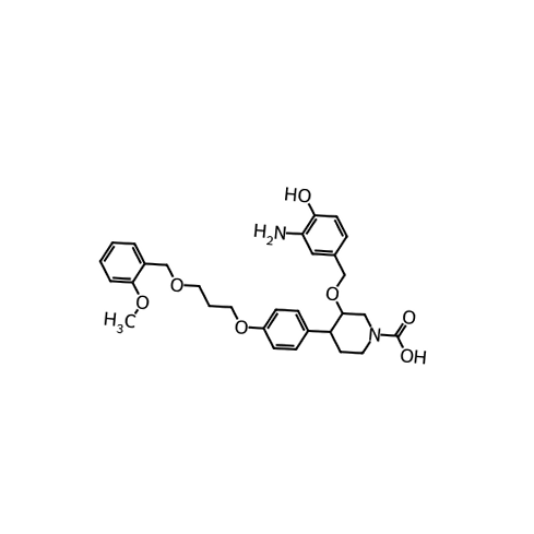 COc1ccccc1COCCCOc1ccc(C2CCN(C(=O)O)CC2OCc2ccc(O)c(N)c2)cc1